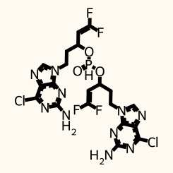 Nc1nc(Cl)c2ncn(CCC(C=C(F)F)O[PH](=O)OC(C=C(F)F)CCn3cnc4c(Cl)nc(N)nc43)c2n1